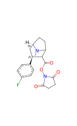 CN1C2CC[C@@H]1C[C@H](c1ccc(F)cc1)C2C(=O)ON1C(=O)CCC1=O